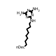 CCCCCCCCCCCCCCCCCCNc1nc(N)nc(N)n1